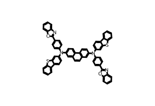 c1ccc2oc(-c3ccc(N(c4ccc5c(ccc6cc(N(c7ccc(-c8nc9ccccc9o8)cc7)c7ccc8c(c7)sc7ccccc78)ccc65)c4)c4ccc5c(c4)sc4ccccc45)cc3)nc2c1